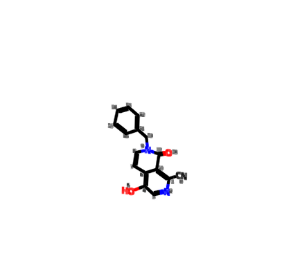 N#Cc1ncc(O)c2ccn(Cc3ccccc3)c(=O)c12